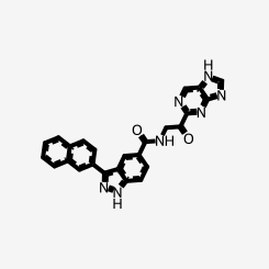 O=C(NCC(=O)c1ncc2[nH]cnc2n1)c1ccc2[nH]nc(-c3ccc4ccccc4c3)c2c1